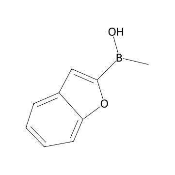 CB(O)c1cc2ccccc2o1